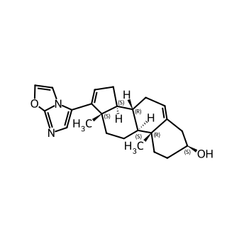 C[C@]12CC[C@H](O)CC1=CC[C@@H]1[C@@H]2CC[C@]2(C)C(c3cnc4occn34)=CC[C@@H]12